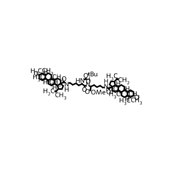 C=C(C)C1CCC2(C(=O)NCCCCC(NC(=O)OC(C)(C)C)C(=O)NC(CCCCNC(=O)C34CCC(C(=C)C)C3[C@H]3CC[C@@H]5[C@@]6(C)CCC(=O)C(C)(C)[C@@H]6CC[C@@]5(C)[C@]3(C)CC4)C(=O)OC)CC[C@]3(C)[C@H](CC[C@@H]4[C@@]5(C)CCC(=O)C(C)(C)[C@@H]5CC[C@]43C)C12